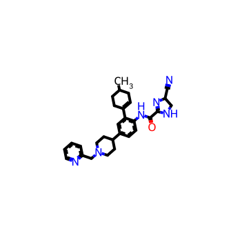 CC1CC=C(c2cc(C3CCN(Cc4ccccn4)CC3)ccc2NC(=O)C2=NC(C#N)CN2)CC1